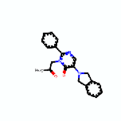 COC(=O)Cn1c(-c2ccccc2)ncc(N2Cc3ccccc3C2)c1=O